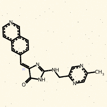 Cc1cnc(CNC2=N/C(=C\c3ccc4cnccc4c3)C(=O)N2)cn1